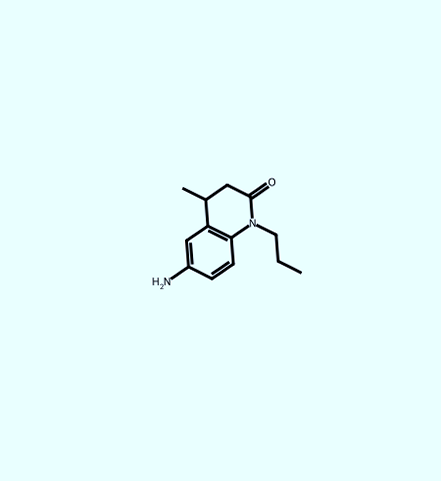 CCCN1C(=O)CC(C)c2cc(N)ccc21